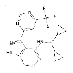 FC(F)(F)c1cc(-c2n[nH]c3ccnc(NC(C4CC4)C4CC4)c23)ncn1